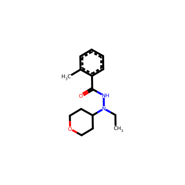 CCN(NC(=O)c1ccccc1C)C1CCOCC1